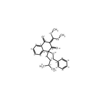 CSC(SC)=C1C(=O)c2ccccc2C(CCC(C)C)(OCc2ccccc2)C1=O